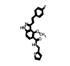 COc1c(C(=O)NCc2cccs2)ccc2[nH]nc(/C=C/c3ccc(F)cc3)c12